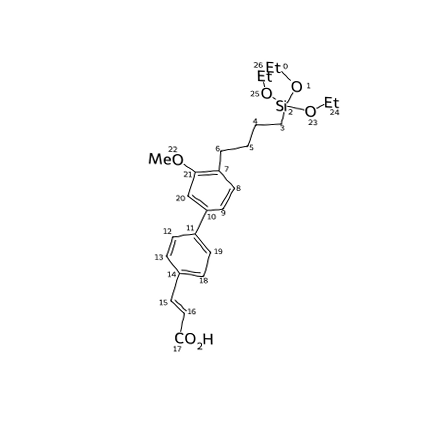 CCO[Si](CCCCc1ccc(-c2ccc(/C=C/C(=O)O)cc2)cc1OC)(OCC)OCC